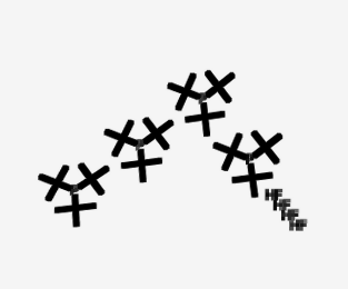 CC(C)(C)P(C(C)(C)C)C(C)(C)C.CC(C)(C)P(C(C)(C)C)C(C)(C)C.CC(C)(C)P(C(C)(C)C)C(C)(C)C.CC(C)(C)P(C(C)(C)C)C(C)(C)C.F.F.F.F